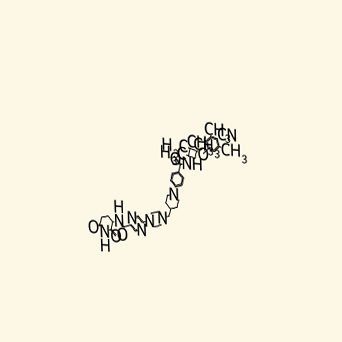 Cc1cc(OC2(C)CC(C)(NC(=O)c3ccc(N4CCC(CN5CCN(c6cnc(C(=O)N[C@H]7CCC(=O)NC7=O)cn6)CC5)CC4)cc3)C2(C)C)cc(C)c1C#N